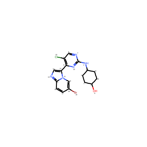 OC1CCC(Nc2ncc(Cl)c(-c3cnc4ccc(Br)cn34)n2)CC1